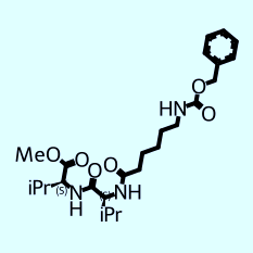 COC(=O)[C@@H](NC(=O)[C@@H](NC(=O)CCCCCNC(=O)OCc1ccccc1)C(C)C)C(C)C